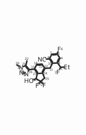 CCC(F)c1cc(F)cc(C#N)c1Cc1ccc(-c2nnn(C)c2C)c2c1CC(F)(F)C2O